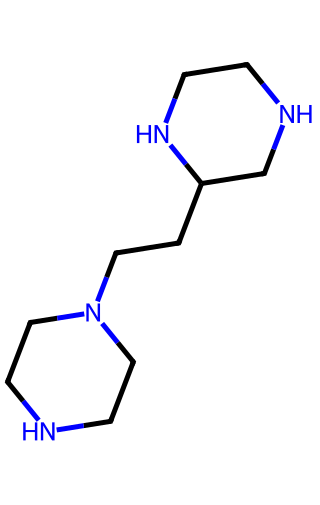 C1CN(CCC2CNCCN2)CCN1